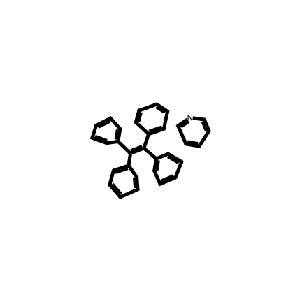 c1ccc(C(=C(c2ccccc2)c2ccccc2)c2ccccc2)cc1.c1ccncc1